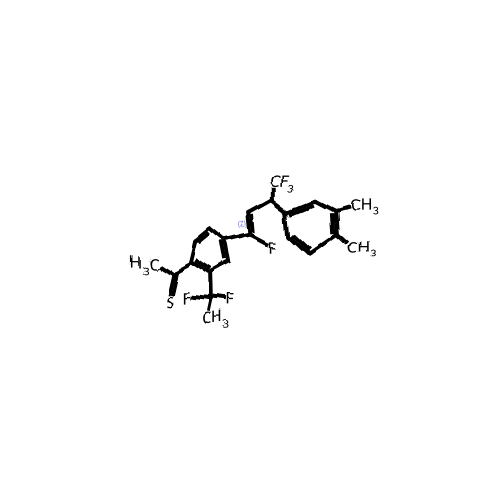 CC(=S)c1ccc(/C(F)=C/C(c2ccc(C)c(C)c2)C(F)(F)F)cc1C(C)(F)F